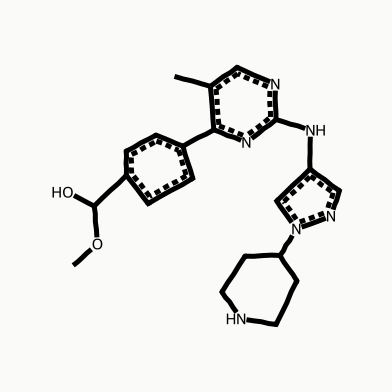 COC(O)c1ccc(-c2nc(Nc3cnn(C4CCNCC4)c3)ncc2C)cc1